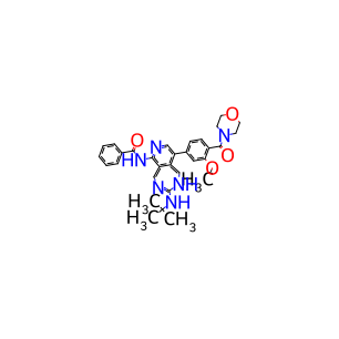 COc1cc(-c2cnc(NC(=O)c3ccccc3)c3c2=CNC(NC(C)(C)C)=NC=3)ccc1C(=O)N1CCOCC1